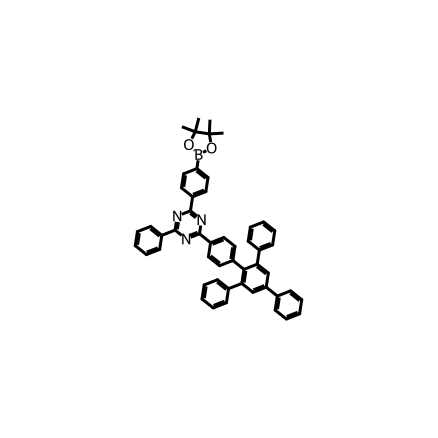 CC1(C)OB(c2ccc(-c3nc(-c4ccccc4)nc(-c4ccc(-c5c(-c6ccccc6)cc(-c6ccccc6)cc5-c5ccccc5)cc4)n3)cc2)OC1(C)C